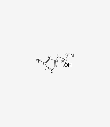 N#C[C@H](O)Cc1cccc(F)c1